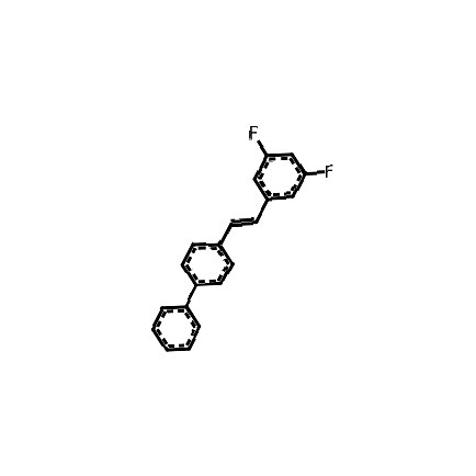 Fc1cc(F)cc(C=Cc2ccc(-c3ccccc3)cc2)c1